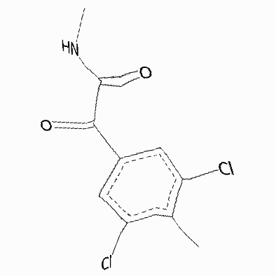 CNC(=O)C(=O)c1cc(Cl)c(C)c(Cl)c1